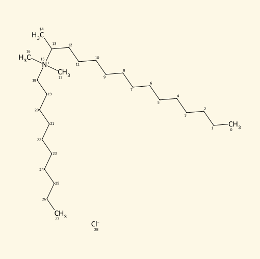 CCCCCCCCCCCCCC(C)[N+](C)(C)CCCCCCCCCC.[Cl-]